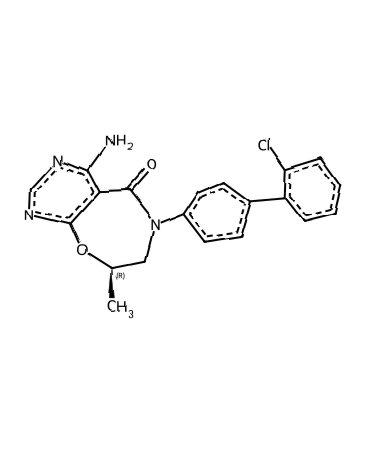 C[C@@H]1CN(c2ccc(-c3ccccc3Cl)cc2)C(=O)c2c(N)ncnc2O1